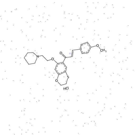 COc1ccc(/C=C/C(=O)c2cc3c(cc2OCCN2CCCCC2)OCCS3)cc1.Cl